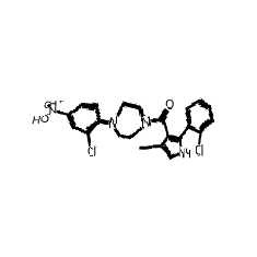 Cc1c[nH]c(-c2ccccc2Cl)c1C(=O)N1CCN(c2ccc([NH+]([O-])O)cc2Cl)CC1